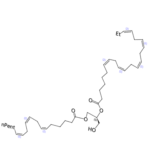 CC/C=C\C/C=C\C/C=C\C/C=C\C/C=C\CCCCCC(=O)O[C@@H](CO)COC(=O)CCCC/C=C\C/C=C\C/C=C\CCCCC